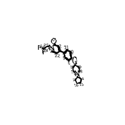 O=c1cc(-c2ccc(OC3CCN(C4CCCC4)CC3)cc2)ccn1CC(F)F